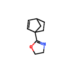 C1=CC2(C3=NCCO3)CCC1C2